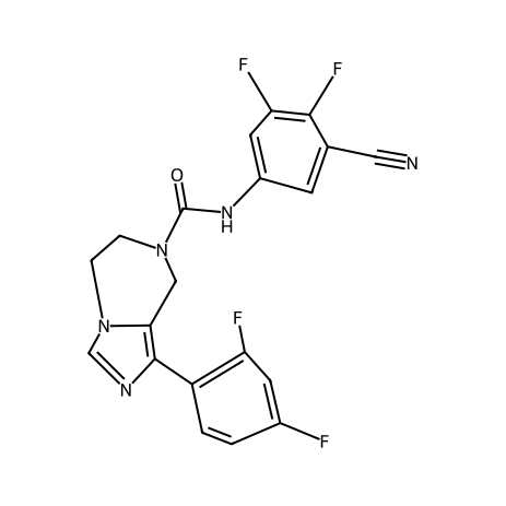 N#Cc1cc(NC(=O)N2CCn3cnc(-c4ccc(F)cc4F)c3C2)cc(F)c1F